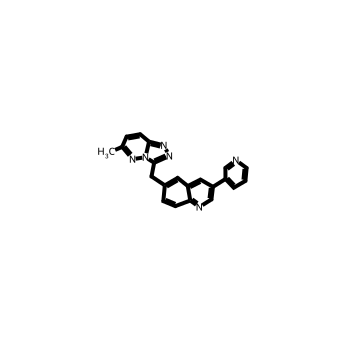 Cc1ccc2nnc(Cc3ccc4ncc(-c5cccnc5)cc4c3)n2n1